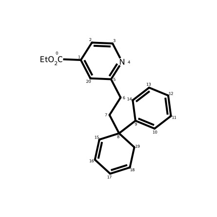 CCOC(=O)c1ccnc(CCC2(c3ccccc3)C=CC=CC2)c1